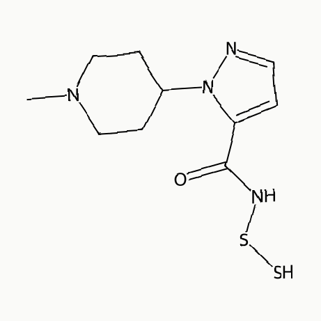 CN1CCC(n2nccc2C(=O)NSS)CC1